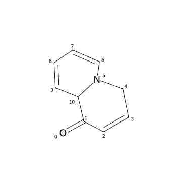 O=C1C=CCN2C=CC=CC12